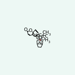 CC(C)(C)OC(=O)N1C2CCC1CC(Oc1ccc3oc(=O)ccc3c1)C2